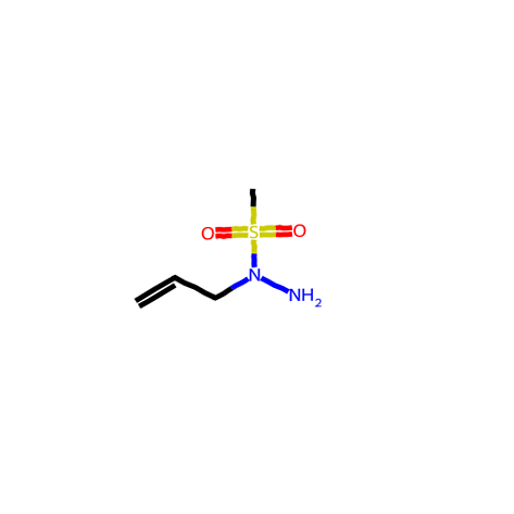 C=CCN(N)S(C)(=O)=O